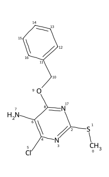 CSc1nc(Cl)c(N)c(OCc2ccccc2)n1